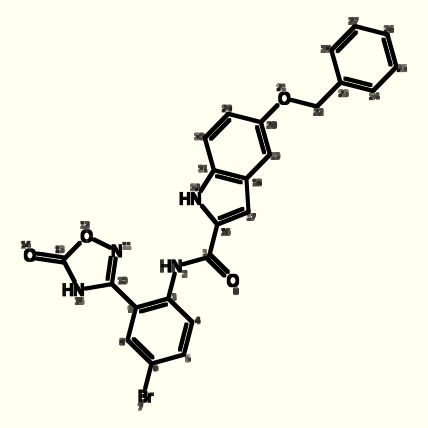 O=C(Nc1ccc(Br)cc1-c1noc(=O)[nH]1)c1cc2cc(OCc3ccccc3)ccc2[nH]1